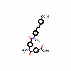 COC(=O)c1ccc(C(=O)N(C)c2ccc(C(=O)N(C)c3ccc(/C=C/c4ccc(C(=O)O)cc4)cc3)cc2)cc1